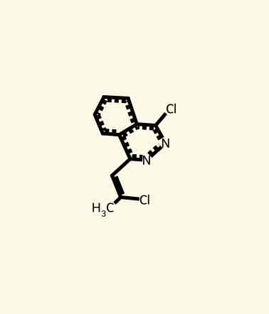 C/C(Cl)=C/c1nnc(Cl)c2ccccc12